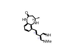 CN/C=C(C=N)/C=C/c1cccc2c1N[C@H](C)CC(=O)N2